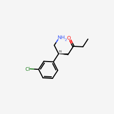 CCC(=O)C[C@H](CN)c1cccc(Cl)c1